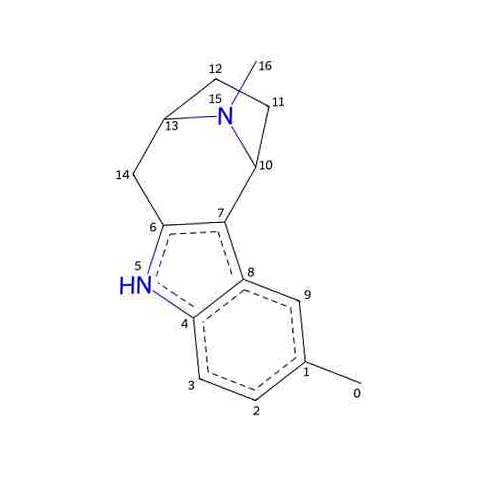 Cc1ccc2[nH]c3c(c2c1)C1CCC(C3)N1C